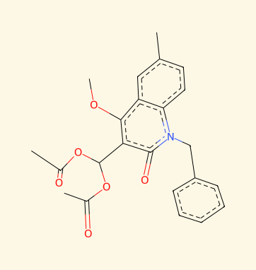 COc1c(C(OC(C)=O)OC(C)=O)c(=O)n(Cc2ccccc2)c2ccc(C)cc12